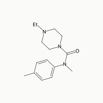 CCN1CCN(C(=O)N(C)c2ccc(C)cc2)CC1